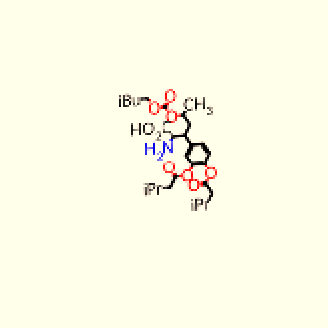 CCC(C)COC(=O)OC(C)CC(c1ccc(OC(=O)CC(C)C)c(OC(=O)CC(C)C)c1)[C@H](N)C(=O)O